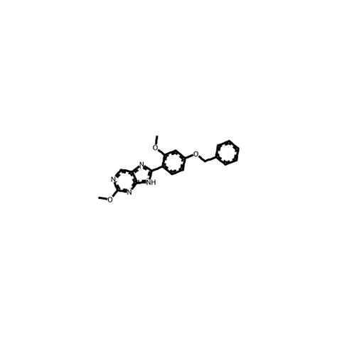 COc1ncc2nc(-c3ccc(OCc4ccccc4)cc3OC)[nH]c2n1